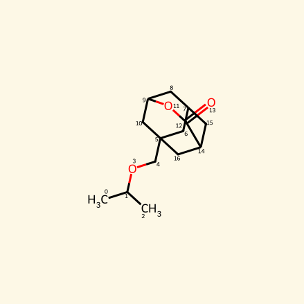 CC(C)OCC12CC3CC(C1)OC(=O)C(C3)C2